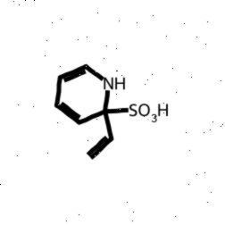 C=CC1(S(=O)(=O)O)C=CC=CN1